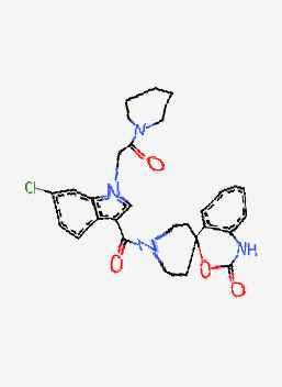 O=C1Nc2ccccc2C2(CCN(C(=O)c3cn(CC(=O)N4CCCCC4)c4cc(Cl)ccc34)CC2)O1